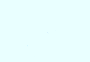 N#Cc1ccc2c(cc(C3CC3)n2Cc2noc(-c3cccc(C(F)(F)F)c3)n2)c1C(F)(F)F